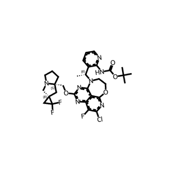 C[C@H](c1cccnc1NC(=O)OC(C)(C)C)N1CCOc2nc(Cl)c(F)c3nc(OC[C@@]45CCCN4C[C@]4(CC4(F)F)C5)nc1c23